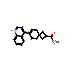 COC(=O)C1CC2(CC=C(c3ccnc4ccccc34)CC2)C1